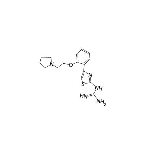 N=C(N)Nc1nc(-c2ccccc2OCCN2CCCC2)cs1